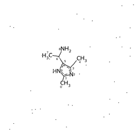 Cc1nc(C)c(C(C)N)[nH]1